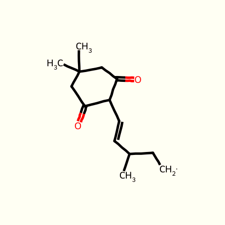 [CH2]CC(C)C=CC1C(=O)CC(C)(C)CC1=O